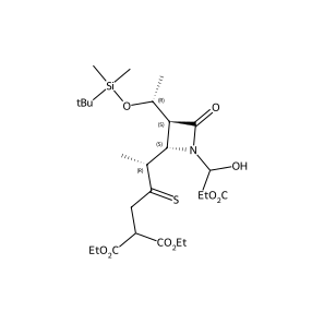 CCOC(=O)C(CC(=S)[C@H](C)[C@@H]1[C@@H]([C@@H](C)O[Si](C)(C)C(C)(C)C)C(=O)N1C(O)C(=O)OCC)C(=O)OCC